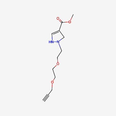 C#CCOCCOCCN1CC(C(=O)OC)=CN1